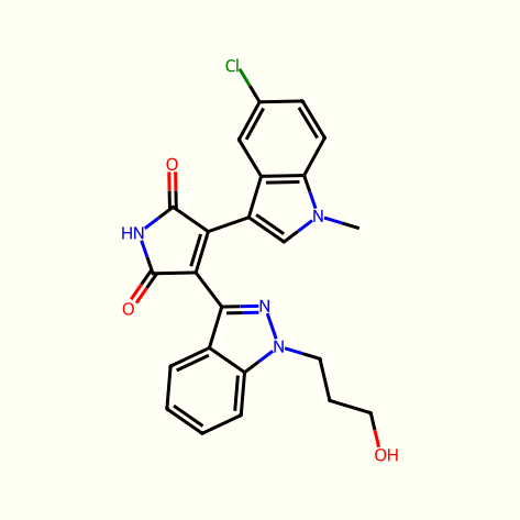 Cn1cc(C2=C(c3nn(CCCO)c4ccccc34)C(=O)NC2=O)c2cc(Cl)ccc21